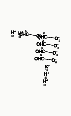 O=C[O-].O=C[O-].O=C[O-].O=C[O-].O=C[O-].[H+].[H+].[H+].[H+].[K+]